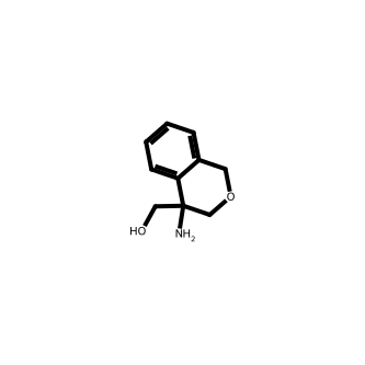 NC1(CO)COCc2ccccc21